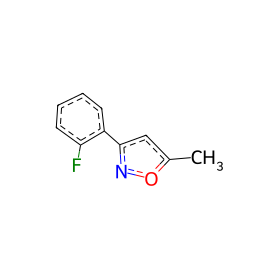 Cc1cc(-c2ccccc2F)no1